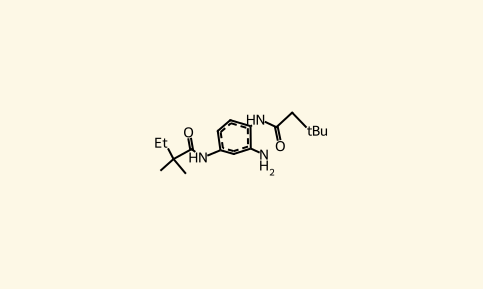 CCC(C)(C)C(=O)Nc1ccc(NC(=O)CC(C)(C)C)c(N)c1